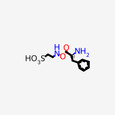 N[C@@H](Cc1ccccc1)C(=O)ONCCS(=O)(=O)O